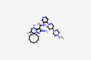 CN1CCN(C2CCN(c3ccncc3NC(=O)c3c(N)nn4c3NCC(Cl)C43CCCCCCCCC3)CC2)CC1